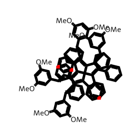 COc1cc(C=CC(=C(c2ccccc2)C(C(=C(C=Cc2cc(OC)cc(OC)c2)c2ccccc2)c2ccccc2)(C(=C(C=Cc2cc(OC)cc(OC)c2)c2ccccc2)c2ccccc2)C(=C(C=Cc2cc(OC)cc(OC)c2)c2ccccc2)c2ccccc2)c2ccccc2)cc(OC)c1